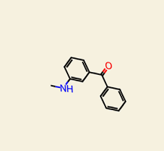 CNc1cccc(C(=O)c2ccccc2)c1